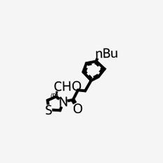 CCCCc1ccc(CCC(=O)N2CSC[C@H]2C=O)cc1